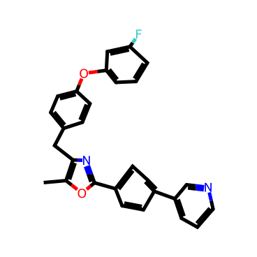 Cc1oc(-c2ccc(-c3cccnc3)cc2)nc1Cc1ccc(Oc2cccc(F)c2)cc1